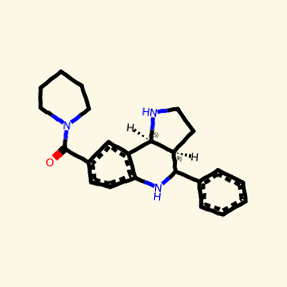 O=C(c1ccc2c(c1)[C@H]1NCC[C@H]1C(c1ccccc1)N2)N1CCCCC1